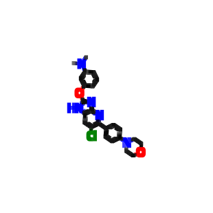 CN(C)c1cccc(Oc2nc3nc(-c4ccc(N5CCOCC5)cc4)c(Cl)cc3[nH]2)c1